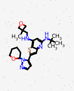 CC1(CNc2cc(NC(C)(C)C)nc3cc(-c4ccnn4C4CCCCO4)sc23)COC1